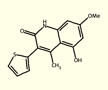 COc1cc(O)c2c(C)c(-c3cccs3)c(=O)[nH]c2c1